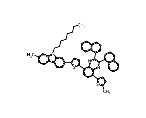 CCCCCCCCn1c2cc(C)ccc2c2ccc(-c3ccc(-c4ccc(-c5ccc(C)s5)c5nc(-c6cccc7ccccc67)c(-c6cccc7ccccc67)nc45)s3)cc21